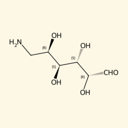 NC[C@@H](O)[C@H](O)[C@H](O)[C@@H](O)C=O